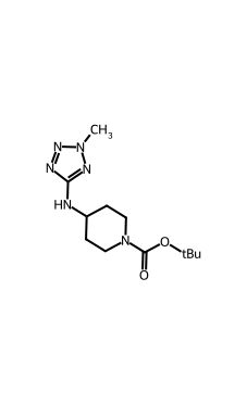 Cn1nnc(NC2CCN(C(=O)OC(C)(C)C)CC2)n1